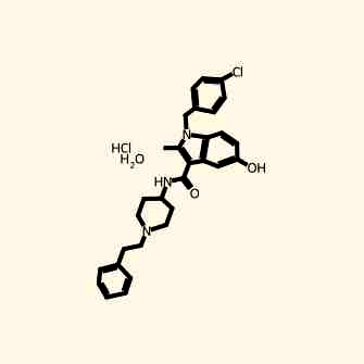 Cc1c(C(=O)NC2CCN(CCc3ccccc3)CC2)c2cc(O)ccc2n1Cc1ccc(Cl)cc1.Cl.O